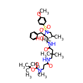 COc1ccc(S(=O)(=O)N(CC(C)C)C(O)(CCNC(=O)CC(C)(C)CNC(=O)CCN(C)C(=O)OC(C)(C)C)Cc2ccccc2)cc1